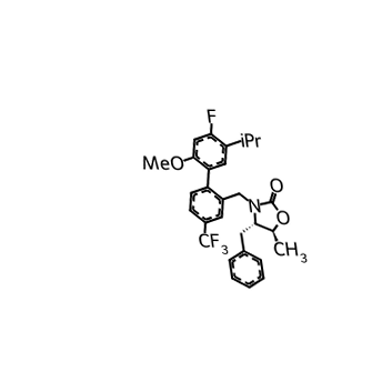 COc1cc(F)c(C(C)C)cc1-c1ccc(C(F)(F)F)cc1CN1C(=O)O[C@@H](C)[C@@H]1Cc1ccccc1